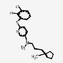 CCN(CCCC1(C)CCCC1)c1ccc(Sc2cccc(Cl)c2Cl)nc1